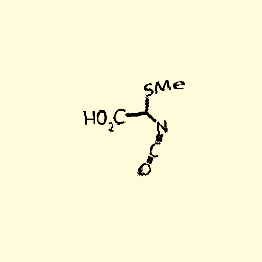 CSC(N=C=O)C(=O)O